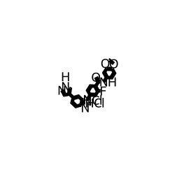 Cl.Cl.O=C(Nc1ccc2c(c1)OCO2)c1ccc(-n2cnc3ccc(-c4cn[nH]c4)cc32)cc1F